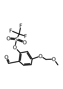 COCOc1ccc(C=O)c(OS(=O)(=O)C(F)(F)F)c1